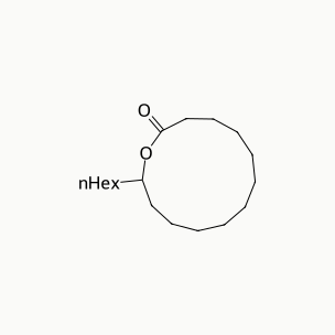 CCCCCCC1CCCCCCCCCCC(=O)O1